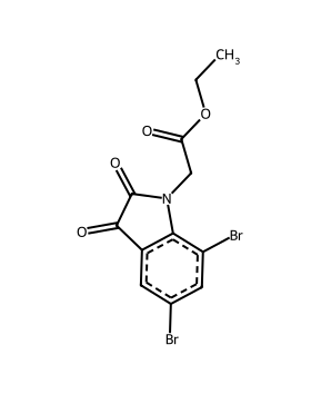 CCOC(=O)CN1C(=O)C(=O)c2cc(Br)cc(Br)c21